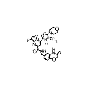 C[C@H](NC(=O)c1cc(C(=O)NCc2ccc3c(c2)NC(=O)CO3)nc2c(F)cnn12)C(=O)N1CCOCC1